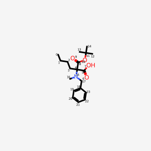 CCCCC(C(=O)O)(C(=O)OC(C)(C)C)N(C)Cc1ccccc1